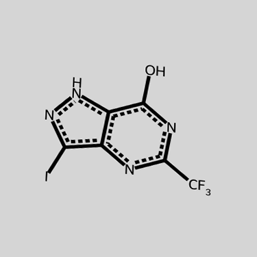 Oc1nc(C(F)(F)F)nc2c(I)n[nH]c12